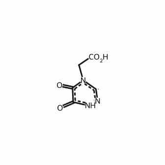 O=C(O)Cn1[c]n[nH]c(=O)c1=O